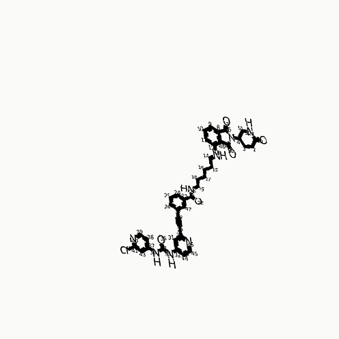 O=C1CCC(N2C(=O)c3cccc(NCCCCCCNC(=O)c4cccc(C#Cc5cc(NC(=O)Nc6ccnc(Cl)c6)ccn5)c4)c3C2=O)CN1